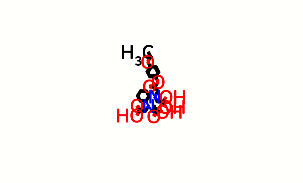 CCOc1ccc(OC(=O)CN(CC(O)O)[C@H]2CCCC[C@@H]2N(CC(=O)O)CC(=O)O)cc1